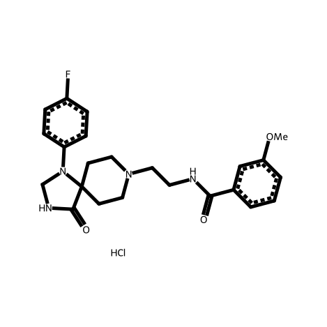 COc1cccc(C(=O)NCCN2CCC3(CC2)C(=O)NCN3c2ccc(F)cc2)c1.Cl